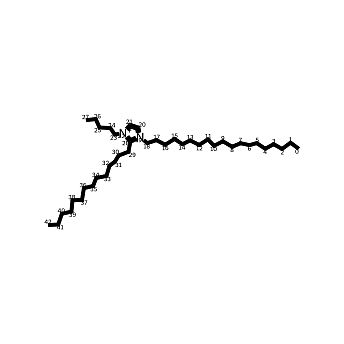 CCCCCCCCCCCCCCCCCCCn1cc[n+](CCCCC)c1CCCCCCCCCCCCCC